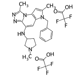 Cc1cc2c(cc(NC3CCN(C)C3)c3nnc(C)n32)n1Cc1ccccc1.O=C(O)C(F)(F)F.O=C(O)C(F)(F)F